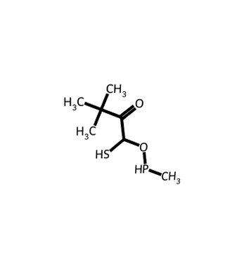 CPOC(S)C(=O)C(C)(C)C